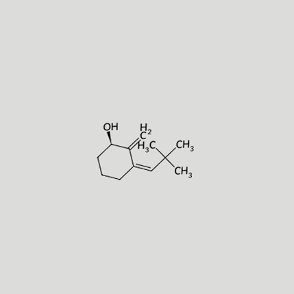 C=C1/C(=C\C(C)(C)C)CCC[C@H]1O